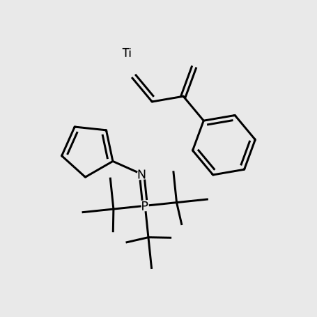 C=CC(=C)c1ccccc1.CC(C)(C)P(=NC1=CC=CC1)(C(C)(C)C)C(C)(C)C.[Ti]